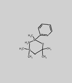 CC1(C)C[Si](C)(C)[SiH2][Si](C)(c2ccccc2)O1